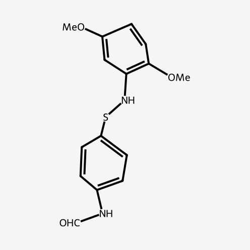 COc1ccc(OC)c(NSc2ccc(NC=O)cc2)c1